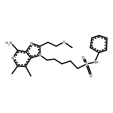 COCCc1nc2c(N)nc(C)c(C)c2n1CCCCCS(=O)(=O)Nc1ccccc1